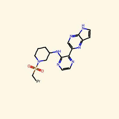 CC(C)CS(=O)(=O)N1CCCC(Nc2nccnc2-c2cnc3[nH]ccc3n2)C1